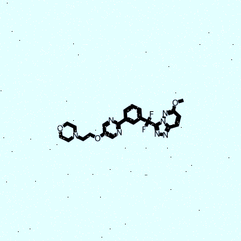 COc1ccc2nnc(C(F)(F)c3cccc(-c4ncc(OCCN5CCOCC5)cn4)c3)n2n1